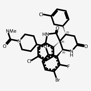 CNC(=O)N1CCC(Oc2ccc(Br)c(F)c2[C@@H]2NC(=O)C[C@@H](C3C=CC=C(Cl)C3)[C@]23C(=O)Nc2cc(Cl)ccc23)CC1